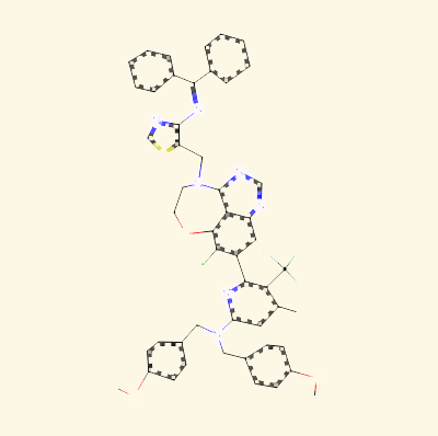 COc1ccc(CN(Cc2ccc(OC)cc2)c2cc(C)c(C(F)(F)F)c(-c3cc4ncnc5c4c(c3Cl)OCCN5Cc3scnc3N=C(c3ccccc3)c3ccccc3)n2)cc1